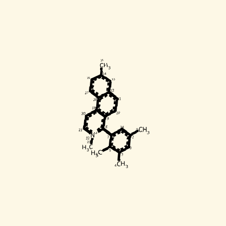 Cc1cc(C)c(C)c(-c2c3ccc4cc(C)ccc4c3cc[n+]2C)c1